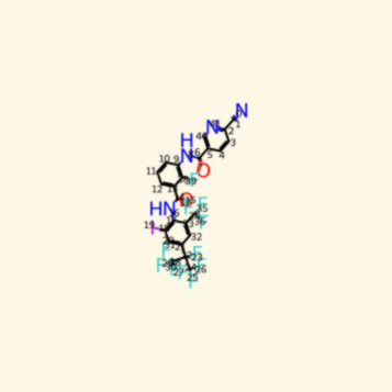 N#Cc1ccc(C(=O)Nc2cccc(C(=O)Nc3c(I)cc(C(F)(C(F)(F)F)C(F)(F)F)cc3C(F)(F)F)c2F)cn1